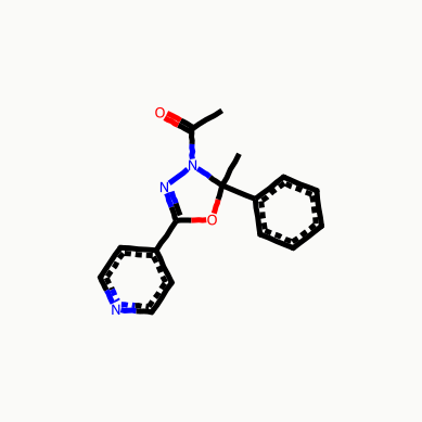 CC(=O)N1N=C(c2ccncc2)OC1(C)c1ccccc1